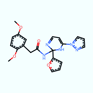 COc1ccc(OC)c(CC(=O)NC2(c3ccco3)N=CC=C(n3cccn3)N2)c1